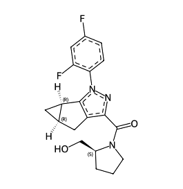 O=C(c1nn(-c2ccc(F)cc2F)c2c1C[C@H]1C[C@@H]21)N1CCC[C@H]1CO